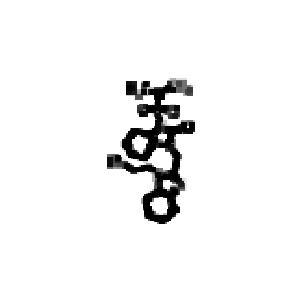 CC(C)CCn1c(Cn2c(=O)n(S(=O)(=O)N(C)C)c3ccccc32)nc2ccccc21